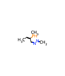 C=N/N=C\C(=C/C)PC